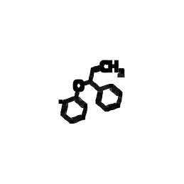 C=CC(Oc1[c]cccc1)c1ccccc1